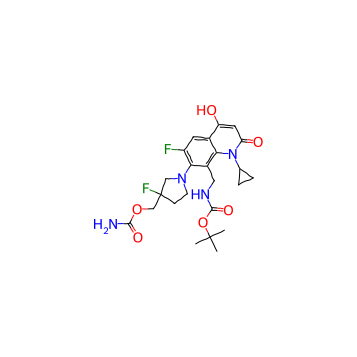 CC(C)(C)OC(=O)NCc1c(N2CCC(F)(COC(N)=O)C2)c(F)cc2c(O)cc(=O)n(C3CC3)c12